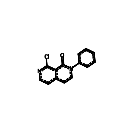 O=c1c2c(Cl)nccc2ccn1-c1ccccc1